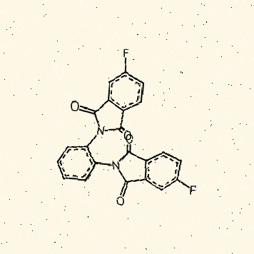 O=C1c2ccc(F)cc2C(=O)N1c1ccccc1N1C(=O)c2ccc(F)cc2C1=O